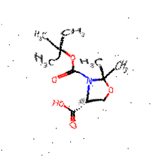 CC(C)(C)OC(=O)N1[C@@H](C(=O)O)COC1(C)C